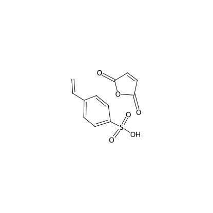 C=Cc1ccc(S(=O)(=O)O)cc1.O=C1C=CC(=O)O1